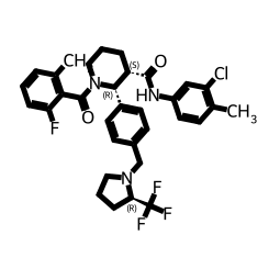 Cc1ccc(NC(=O)[C@H]2CCCN(C(=O)c3c(C)cccc3F)[C@H]2c2ccc(CN3CCC[C@@H]3C(F)(F)F)cc2)cc1Cl